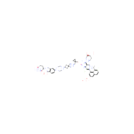 CCc1c(F)ccc2cc(OCOC)cc(-c3ncc4c(N5CCC[C@@](C)(O)C5)nc(OCC5(CN6CC7(CC(N8CCN(c9ccc%10c(c9)CN([C@H]9CCC(=O)NC9=O)C%10=O)CC8)C7)C6)CC5)nc4c3F)c12